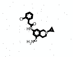 NSc1cc(NC(=O)Cc2ccccc2Cl)cc2c1CCN(C1CC1)C2